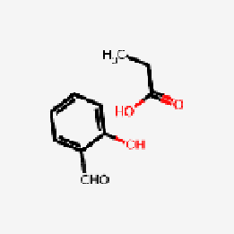 CCC(=O)O.O=Cc1ccccc1O